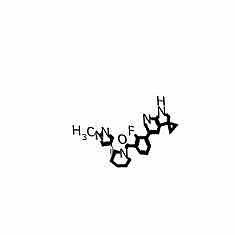 Cn1cc([C@H]2CCCCN2C(=O)c2cccc(-c3cnc4c(c3)C3(CC3)CN4)c2F)cn1